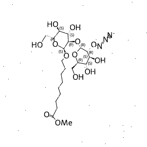 COC(=O)CCCCCCCCO[C@H]1O[C@H](CO)[C@@H](O)[C@H](O)[C@H]1O[C@H]1O[C@H](CO)[C@@H](O)[C@H](O)[C@H]1ON=[N+]=[N-]